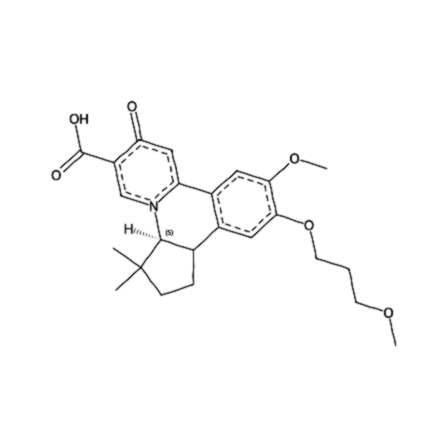 COCCCOc1cc2c(cc1OC)-c1cc(=O)c(C(=O)O)cn1[C@H]1C2CCC1(C)C